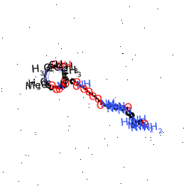 CO[C@H]1CC2CCCC(O2)C(=O)C(=O)N2CCCC[C@H]2C(=O)O[C@H](CC[C@H]2CC[C@H](OC(=O)NCCOCCOCCOCCOCCC(=O)NCc3cnc(N4CCN(c5ncc(C(=O)N6CCc7cc(CNc8ncnc(N)c8C(=N)c8ccc9oc(N)nc9c8)ccc7C6)cn5)CC4)nc3)CC2)CC[C@H](C)/C=C(\C)[C@@H](O)CC(=O)[C@H](C)C[C@H](C)/C=C/C=C/C=C/1C